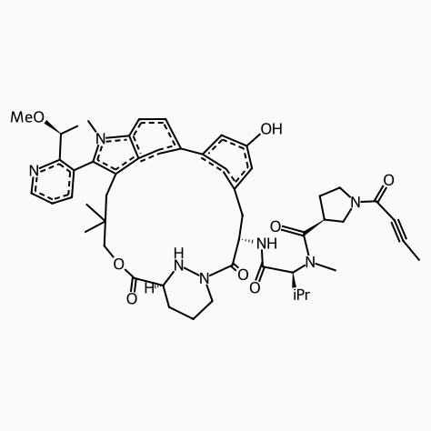 CC#CC(=O)N1CC[C@H](C(=O)N(C)[C@H](C(=O)N[C@H]2Cc3cc(O)cc(c3)-c3ccc4c(c3)c(c(-c3cccnc3[C@H](C)OC)n4C)CC(C)(C)COC(=O)[C@@H]3CCCN(N3)C2=O)C(C)C)C1